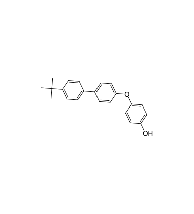 CC(C)(C)c1ccc(-c2ccc(Oc3ccc(O)cc3)cc2)cc1